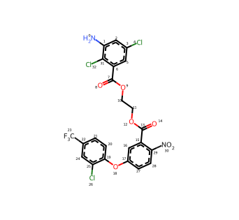 Nc1cc(Cl)cc(C(=O)OCCOC(=O)c2cc(Oc3ccc(C(F)(F)F)cc3Cl)ccc2[N+](=O)[O-])c1Cl